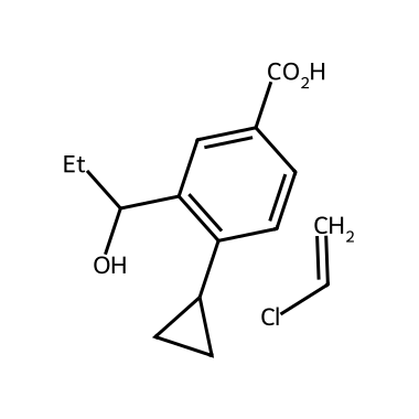 C=CCl.CCC(O)c1cc(C(=O)O)ccc1C1CC1